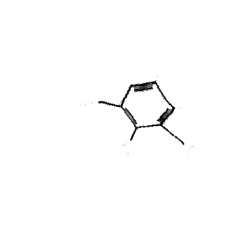 Pc1cccc(S)c1S